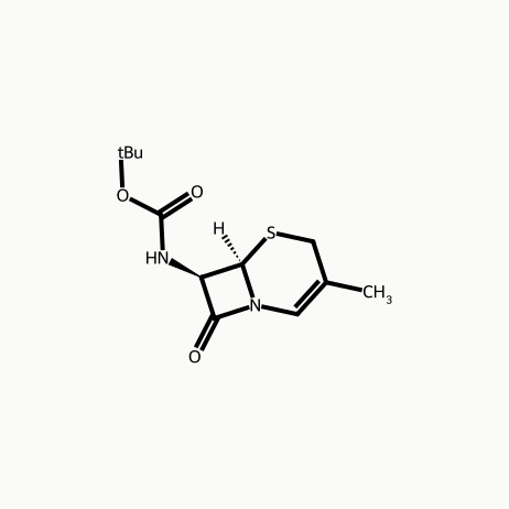 CC1=CN2C(=O)[C@@H](NC(=O)OC(C)(C)C)[C@H]2SC1